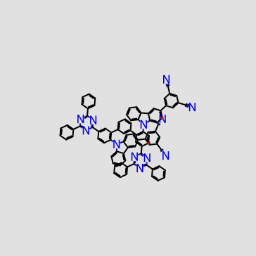 N#Cc1cc(C#N)cc(-c2ccc3c(c2)c2ccccc2n3-c2ccc(-c3nc(-c4ccccc4)nc(-c4ccccc4)n3)cc2-c2cccc(-c3cc(-c4nc(-c5ccccc5)nc(-c5ccccc5)n4)ccc3-n3c4ccccc4c4cc(-c5cc(C#N)cc(C#N)c5)ccc43)c2)c1